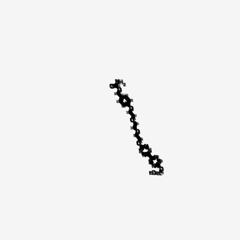 CCCCCCCCCCOc1nnc(-c2nnc(OCCOCCOCCOc3ccc(COC(N)=O)cc3)nn2)nn1